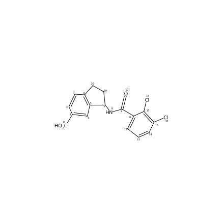 O=C(O)c1ccc2c(c1)C(NC(=O)c1cccc(Cl)c1Cl)CC2